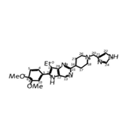 CCc1c(-c2ccc(OC)c(OC)c2)[nH]c2cnc(C3CCN(Cc4c[nH]cn4)CC3)nc12